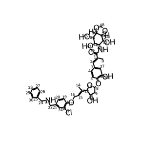 C/C(=C\c1ccc(O[C@H]2CC(O)C(/C(C)=C/COc3ccc(CNCc4ccccc4)cc3Cl)O2)c(O)c1)C(=O)N[C@@H]1[C@H](O)[C@@H](O)[C@H]2OCO[C@H]2[C@H]1O